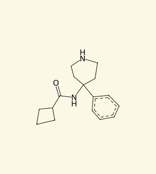 O=C(NC1(c2ccccc2)CCNCC1)C1CCC1